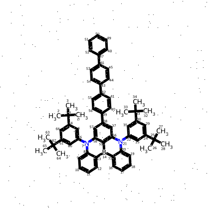 CC(C)(C)c1cc(N2c3ccccc3B3c4ccccc4N(c4cc(C(C)(C)C)cc(C(C)(C)C)c4)c4cc(-c5ccc(-c6ccc(-c7ccccc7)cc6)cc5)cc2c43)cc(C(C)(C)C)c1